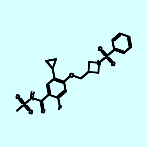 CS(=O)(=O)NC(=O)c1cc(C2CC2)c(OCC2CN(S(=O)(=O)c3ccccc3)C2)cc1F